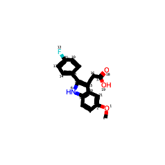 COc1ccc2[nH]c(-c3ccc(F)cc3)c(CC(=O)O)c2c1